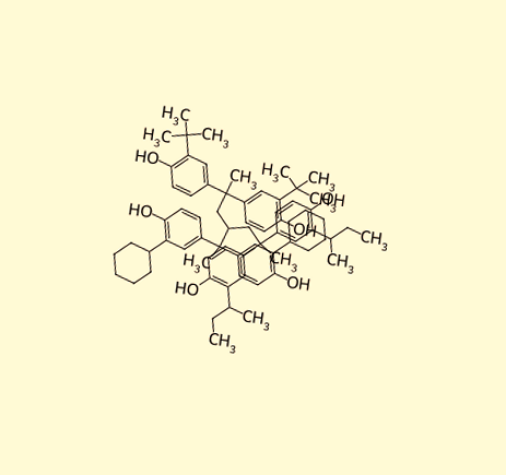 CCC(C)c1cc(C(C)(CC(CC(C)(c2ccc(O)c(C(C)(C)C)c2)c2ccc(O)c(C(C)(C)C)c2)C(C)(c2ccc(O)c(C3CCCCC3)c2)c2ccc(O)c(C3CCCCC3)c2)c2ccc(O)c(C(C)CC)c2)ccc1O